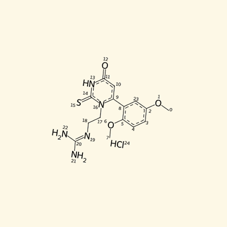 COc1ccc(OC)c(-c2cc(=O)[nH]c(=S)n2CCN=C(N)N)c1.Cl